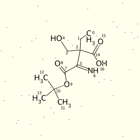 CCC(CO)(C(=N)C(=O)OC(C)(C)C)C(=O)O